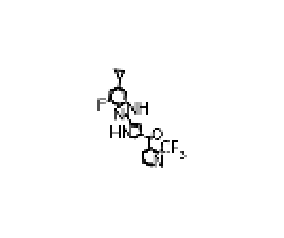 O=C(c1c[nH]c(-c2nc3c(F)cc(C4CC4)cc3[nH]2)c1)c1cccnc1C(F)(F)F